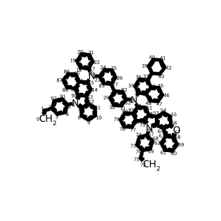 C=Cc1ccc(-n2c3ccccc3c3cc(N(c4ccccc4)c4cccc(-c5cccc(N(c6ccc(C7C=CC=CC7)c7ccccc67)c6cc7c8ccc9oc%10ccccc%10c9c8n(-c8ccc(C=C)cc8)c7c7ccccc67)c5)c4)c4ccccc4c32)cc1